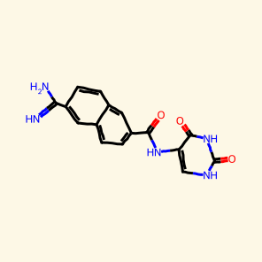 N=C(N)c1ccc2cc(C(=O)Nc3c[nH]c(=O)[nH]c3=O)ccc2c1